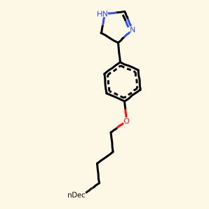 CCCCCCCCCCCCCCOc1ccc(C2CNC=N2)cc1